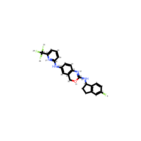 Fc1ccc2c(c1)CCC2NC1=Nc2ccc(Nc3cccc(C(F)(F)F)n3)cc2CO1